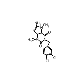 CN1C(=O)N(Cc2ccc(Cl)c(Cl)c2)C(=O)C2C1N=C(N)N2C